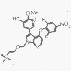 COc1ncc(-c2cn(COCC[Si](C)(C)C)c3nccc(Oc4c(F)cc([N+](=O)[O-])cc4F)c23)cc1C#N